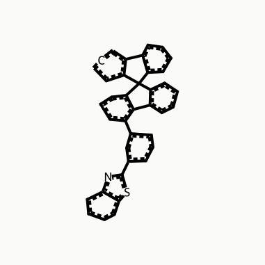 c1cc(-c2nc3ccccc3s2)cc(-c2cccc3c2-c2ccccc2C32c3ccccc3-c3ccccc32)c1